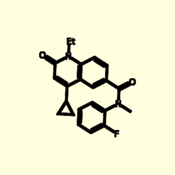 CCn1c(=O)cc(C2CC2)c2cc(C(=O)N(C)c3ccccc3F)ccc21